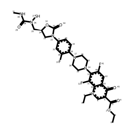 CCOC(=O)c1cn(CC)c2c(F)c(N3CCN(c4ccc(N5C[C@@H](CN(S)C(=O)NC)OC5=O)cc4F)CC3)c(F)cc2c1=O